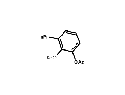 CCCc1cccc(OC(C)=O)c1OC(C)=O